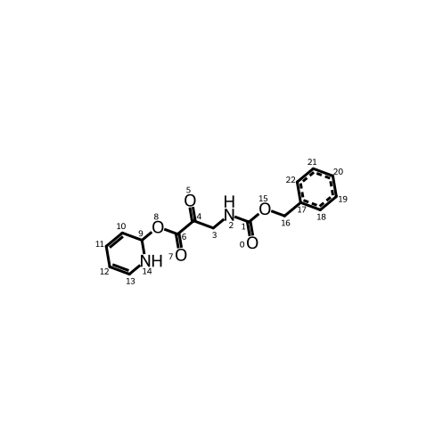 O=C(NCC(=O)C(=O)OC1C=CC=CN1)OCc1ccccc1